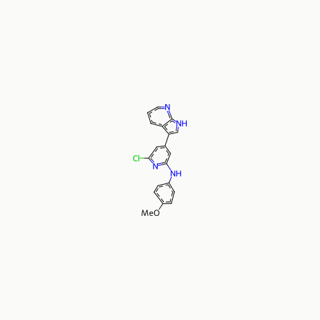 COc1ccc(Nc2cc(-c3c[nH]c4ncccc34)cc(Cl)n2)cc1